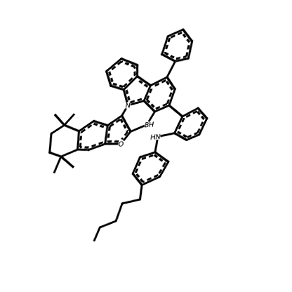 CCCCCc1ccc(Nc2ccccc2-c2cc(-c3ccccc3)c3c4ccccc4n4c3c2Bc2oc3cc5c(cc3c2-4)C(C)(C)CCC5(C)C)cc1